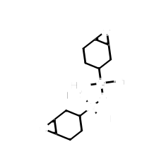 CC(C)[Si](C)(O[Si](C)(C)C1CCC2OC2C1)C1CCC2OC2C1